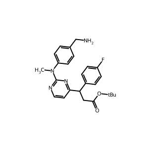 CN(c1ccc(CN)cc1)c1nccc(C(CC(=O)OC(C)(C)C)c2ccc(F)cc2)n1